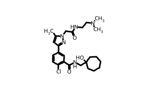 Cc1cc(-c2ccc(Cl)c(C(=O)NCC3(O)CCCCCC3)c2)nn1CC(=O)NCCN(C)C